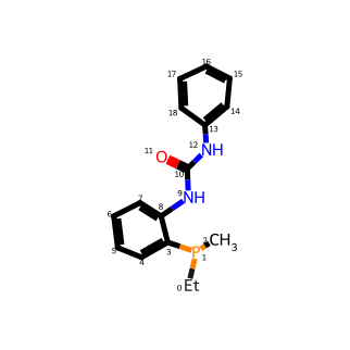 CCP(C)c1ccccc1NC(=O)Nc1ccccc1